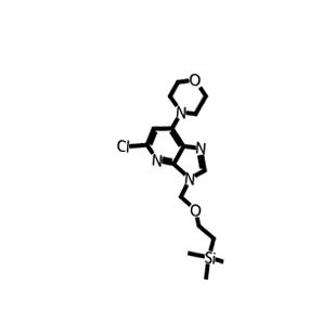 C[Si](C)(C)CCOCn1cnc2c(N3CCOCC3)cc(Cl)nc21